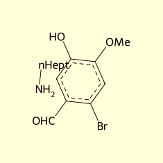 CCCCCCCN.COc1cc(Br)c(C=O)cc1O